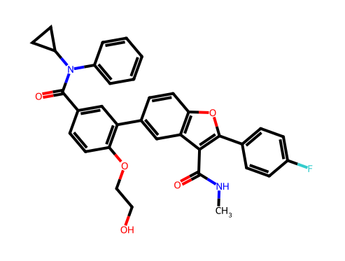 CNC(=O)c1c(-c2ccc(F)cc2)oc2ccc(-c3cc(C(=O)N(c4ccccc4)C4CC4)ccc3OCCO)cc12